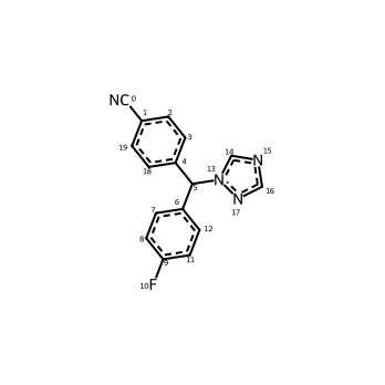 N#Cc1ccc(C(c2ccc(F)cc2)n2cncn2)cc1